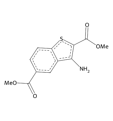 COC(=O)c1ccc2sc(C(=O)OC)c(N)c2c1